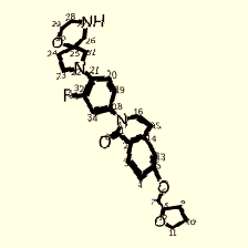 O=c1c2ccc(OC[C@H]3CCCO3)cc2ccn1-c1ccc(N2CCC3(CNCCO3)C2)c(F)c1